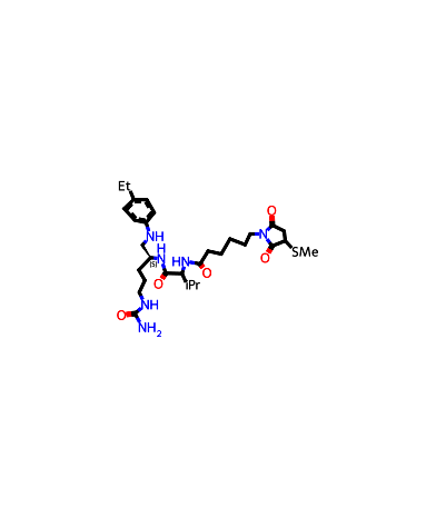 CCc1ccc(NC[C@H](CCCNC(N)=O)NC(=O)C(NC(=O)CCCCCN2C(=O)CC(SC)C2=O)C(C)C)cc1